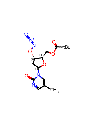 Cc1cnc(=O)n([C@H]2C[C@H](ON=[N+]=[N-])[C@@H](COC(=O)C(C)(C)C)O2)c1